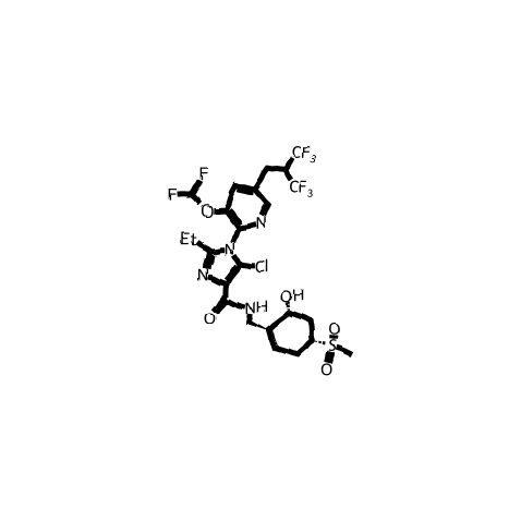 CCc1nc(C(=O)NC[C@@H]2CC[C@@H](S(C)(=O)=O)C[C@H]2O)c(Cl)n1-c1ncc(CC(C(F)(F)F)C(F)(F)F)cc1OC(F)F